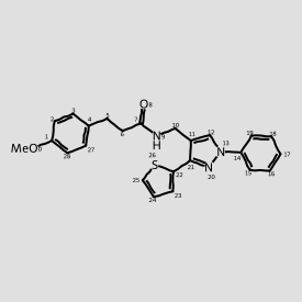 COc1ccc(CCC(=O)NCc2cn(-c3ccccc3)nc2-c2cccs2)cc1